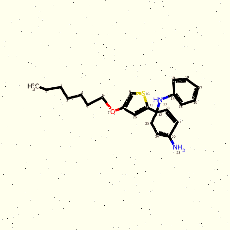 CCCCCCCOc1csc(C2(Nc3ccccc3)C=CC(N)=CC2)c1